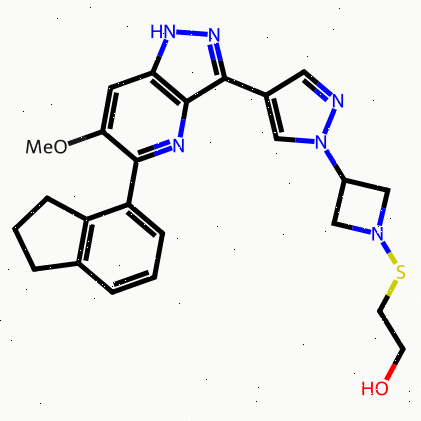 COc1cc2[nH]nc(-c3cnn(C4CN(SCCO)C4)c3)c2nc1-c1cccc2c1CCC2